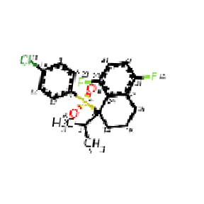 CC(C)C1(S(=O)(=O)c2ccc(Cl)cc2)CCCc2c(F)ccc(F)c21